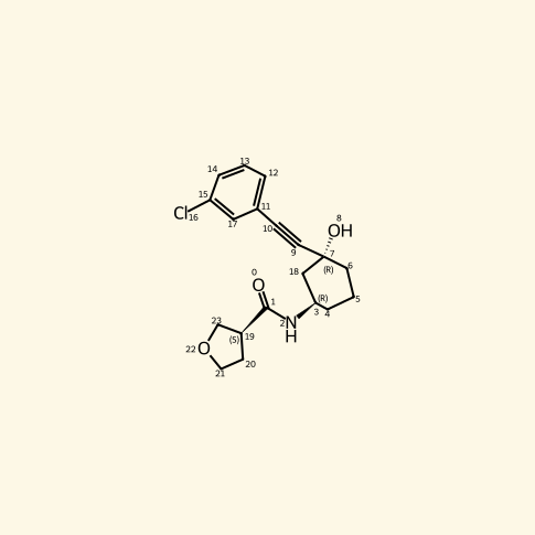 O=C(N[C@@H]1CCC[C@](O)(C#Cc2cccc(Cl)c2)C1)[C@H]1CCOC1